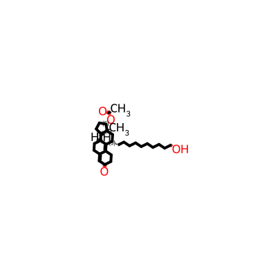 CC(=O)O[C@H]1CC[C@H]2[C@@H]3CCC4=CC(=O)CCC4=C3[C@@H](CCCCCCCCCCO)C[C@]12C